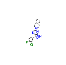 Fc1ccc(-c2n[nH]c3nc(N4CCC5(CCCC5)CC4)cnc23)cc1Cl